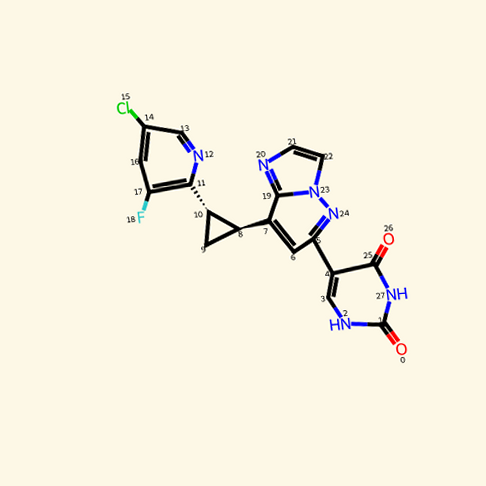 O=c1[nH]cc(-c2cc([C@H]3C[C@@H]3c3ncc(Cl)cc3F)c3nccn3n2)c(=O)[nH]1